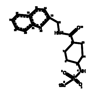 CC(C)(C)S(=O)(=O)NC1CCC(C(=O)NCc2ccc3ccccc3n2)CC1